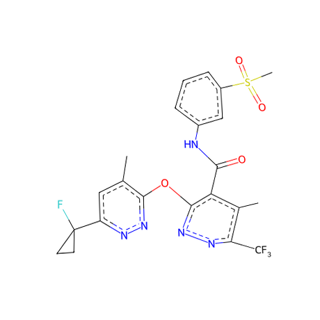 Cc1cc(C2(F)CC2)nnc1Oc1nnc(C(F)(F)F)c(C)c1C(=O)Nc1cccc(S(C)(=O)=O)c1